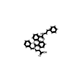 O=C(O)CCN(Cc1ccccc1)C(=O)c1ccccc1-c1ccccc1C(=O)NCCc1ccccc1